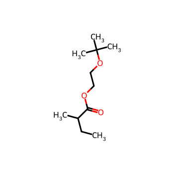 CCC(C)C(=O)OCCOC(C)(C)C